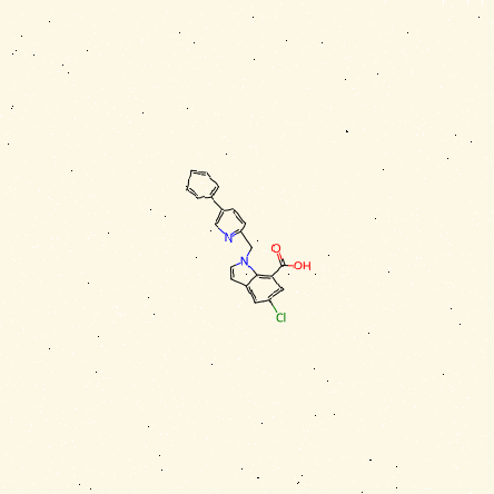 O=C(O)c1cc(Cl)cc2ccn(Cc3ccc(-c4ccccc4)cn3)c12